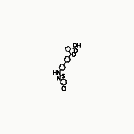 O=C(O)[C@H]1CCC[C@@H]1C(=O)c1ccc(-c2ccc(Nc3nc4cc(Cl)ccc4s3)cc2)cc1